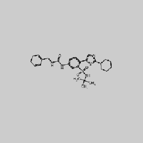 CC(C)(C)NS(=O)(=O)c1cc(NC(=O)NCC2=CCCC=C2)ccc1-c1cnc(C2CCCCC2)s1